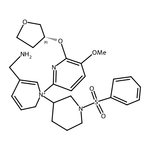 COc1ccc([N+]2(C3CCCN(S(=O)(=O)c4ccccc4)C3)C=C(CN)C=CC2)nc1O[C@@H]1CCOC1